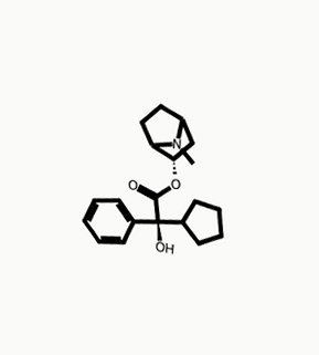 CN1C2CCC1[C@@H](OC(=O)[C@@](O)(c1ccccc1)C1CCCC1)C2